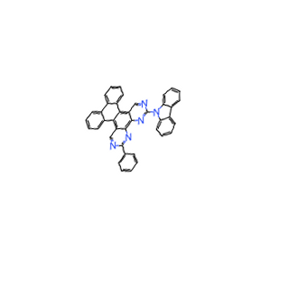 c1ccc(-c2ncc3c(n2)c2nc(-n4c5ccccc5c5ccccc54)ncc2c2c4ccccc4c4ccccc4c32)cc1